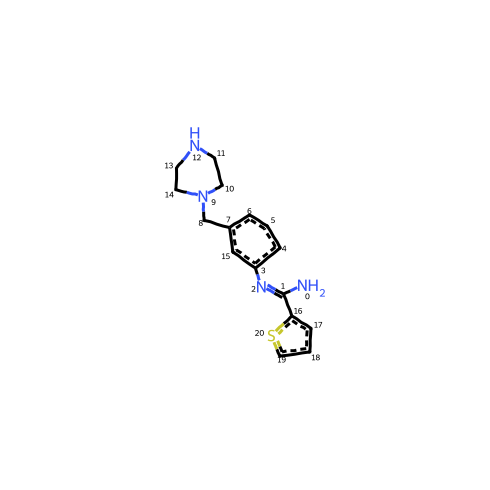 N/C(=N\c1cccc(CN2CCNCC2)c1)c1cccs1